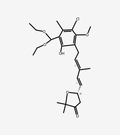 CCOC(OCC)c1c(C)c(Cl)c(OC)c(C/C=C(C)/C=C/[C@@H]2CC(=O)C(C)(C)O2)c1O